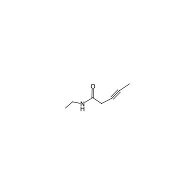 CC#CCC(=O)NCC